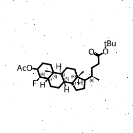 CC(=O)OC1CC[C@@]2(C)[C@H](CC[C@@H]3[C@@H]2CC[C@]2(C)C([C@H](C)CCC(=O)OC(C)(C)C)CC[C@@H]32)[C@H]1F